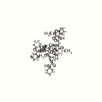 CCCC(NC(=O)[C@@H]1CN(C(=O)Nc2ccccc2)C[C@@H]1N(C)C(=O)C(NC(=O)C(NC(=O)c1cnccn1)C1CCCCC1)C(C)(C)C)C(=O)C(=O)NCC(=O)NC(C(=O)N(C)C)c1ccccc1